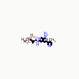 COC(C)(C)C1C[C@@H]1C(=O)Nc1cc2cc(-c3cnccc3C)nc(N)c2cn1